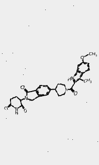 COc1ccc2c(C)c(C(=O)N3CCC(c4ccc5c(c4)CN(C4CCC(=O)NC4=O)C5=O)CC3)[nH]c2c1